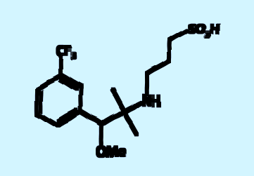 COC(c1cccc(C(F)(F)F)c1)C(C)(C)NCCCS(=O)(=O)O